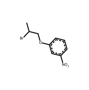 CC(Br)COc1cccc([N+](=O)[O-])c1